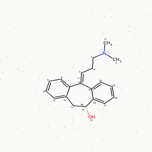 CN(C)CC/C=C1/c2ccccc2C[C@@H](O)c2ccccc21